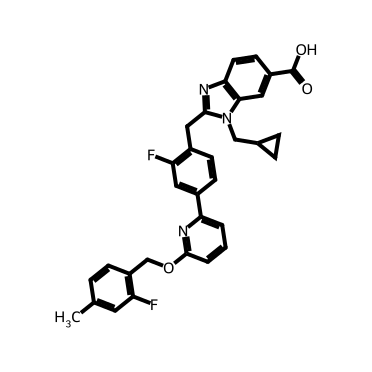 Cc1ccc(COc2cccc(-c3ccc(Cc4nc5ccc(C(=O)O)cc5n4CC4CC4)c(F)c3)n2)c(F)c1